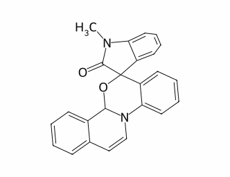 CN1C(=O)C2(OC3c4ccccc4C=CN3c3ccccc32)c2ccccc21